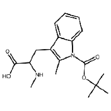 CNC(Cc1c(C)n(C(=O)OC(C)(C)C)c2ccccc12)C(=O)O